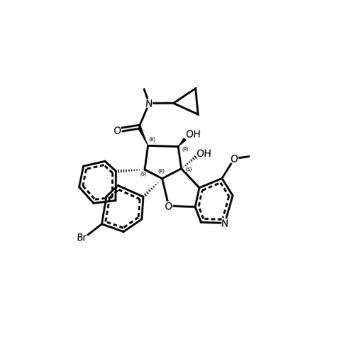 COc1cncc2c1[C@]1(O)[C@H](O)[C@H](C(=O)N(C)C3CC3)[C@@H](c3ccccc3)[C@]1(c1ccc(Br)cc1)O2